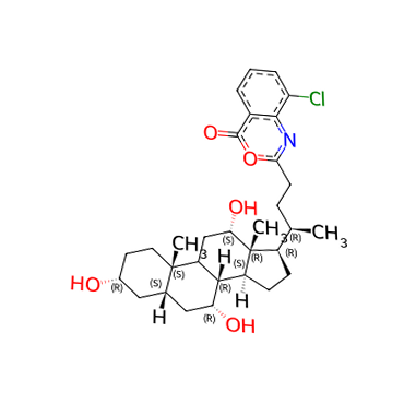 C[C@H](CCc1nc2c(Cl)cccc2c(=O)o1)[C@H]1CC[C@H]2[C@H]3C(C[C@H](O)[C@]12C)[C@@]1(C)CC[C@@H](O)C[C@H]1C[C@H]3O